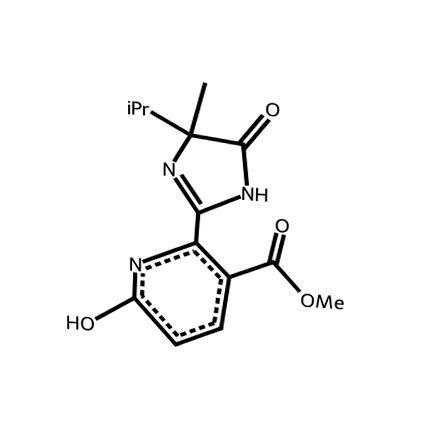 COC(=O)c1ccc(O)nc1C1=NC(C)(C(C)C)C(=O)N1